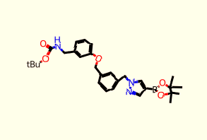 CC(C)(C)OC(=O)NCc1cccc(OCc2cccc(Cn3cc(B4OC(C)(C)C(C)(C)O4)cn3)c2)c1